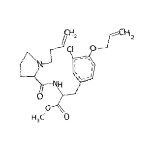 C=CCCN1CCCC1C(=O)NC(Cc1ccc(OCC=C)c(Cl)c1)C(=O)OC